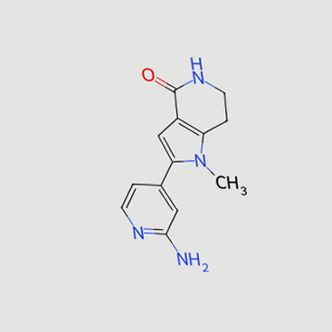 Cn1c(-c2ccnc(N)c2)cc2c1CCNC2=O